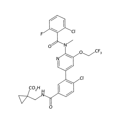 CN(C(=O)c1c(F)cccc1Cl)c1ncc(-c2cc(C(=O)NCC3(C(=O)O)CC3)ccc2Cl)cc1OCC(F)(F)F